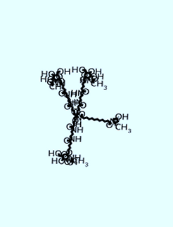 CC[C@@H]1C[C@@H](O)CN1C(=O)CCCCCCCCCCC(=O)NC(COCCC(=O)NCCCNC(=O)CCCCOC1OC(CO)C(O)C(O)C1NC(C)=O)(COCCC(=O)NCCCNC(=O)CCCCOC1OC(CO)C(O)C(O)C1NC(C)=O)COCCC(=O)NCCCNC(=O)CCCCOC1OC(CO)C(O)C(O)C1NC(C)=O